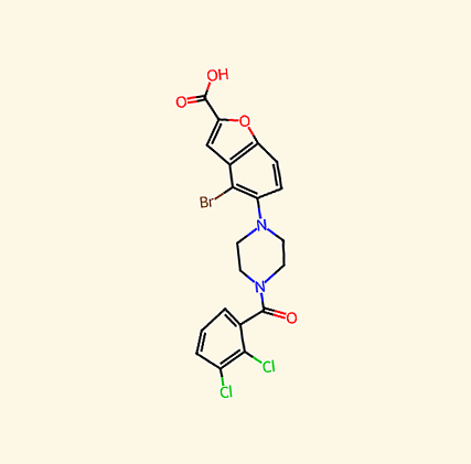 O=C(O)c1cc2c(Br)c(N3CCN(C(=O)c4cccc(Cl)c4Cl)CC3)ccc2o1